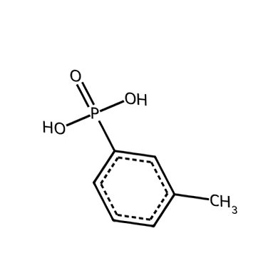 Cc1cccc(P(=O)(O)O)c1